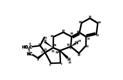 CC(C(=O)O)[C@@]1(CC#N)CC[C@H]2[C@@H]3CCC4=CCCCC4=C3CC[C@@]21C